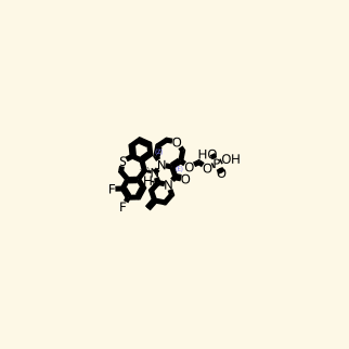 C=C1CCN2C(=O)/C3=C(\OCOP(=O)(O)O)COC/C=C\N3N([C@@H]3c4ccccc4SCc4c3ccc(F)c4F)[C@@H]2C1